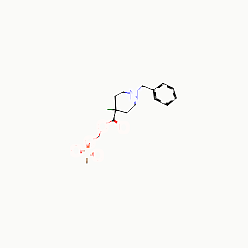 CS(=O)(=O)OCOC(=O)C1(F)CCN(Cc2ccccc2)CC1